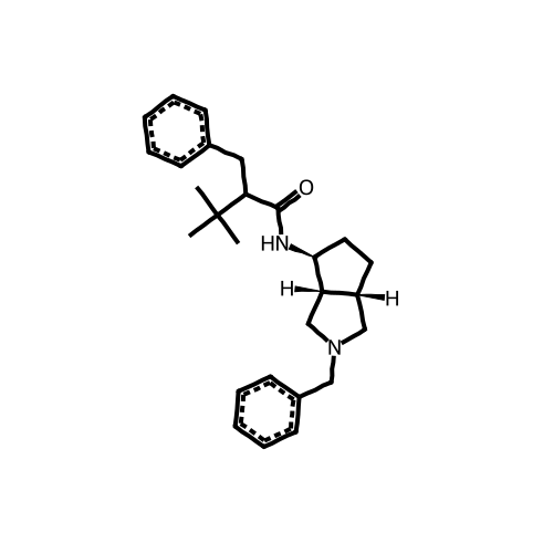 CC(C)(C)C(Cc1ccccc1)C(=O)N[C@H]1CC[C@@H]2CN(Cc3ccccc3)C[C@@H]21